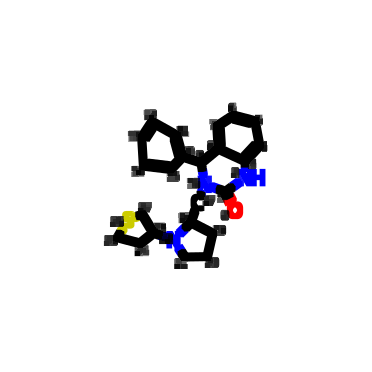 O=C1Nc2ccccc2C(c2ccccc2)N1CC1CCCN1C1CCSC1